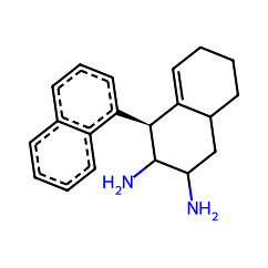 NC1CC2CCCC=C2[C@H](c2cccc3ccccc23)C1N